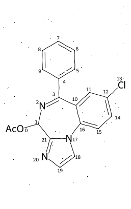 CC(=O)OC1N=C(c2ccccc2)c2cc(Cl)ccc2-n2ccnc21